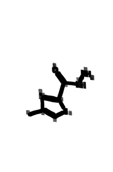 Cc1csc(C(=O)NN)n1